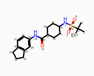 CCC(C)(C)S(=O)(=O)NC1CCC(C(=O)Nc2ccc3c(c2)CCC3)CC1